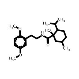 COc1ccc(OC)c(CCNC(=O)C2(O)CC(C)CCC2C(C)C)c1